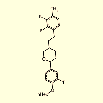 CCCCCCOc1ccc(C2CCC(CCc3ccc(C)c(F)c3F)CO2)cc1F